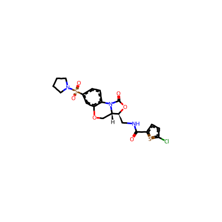 O=C(NC[C@@H]1OC(=O)N2c3ccc(S(=O)(=O)N4CCCC4)cc3OC[C@@H]12)c1ccc(Cl)s1